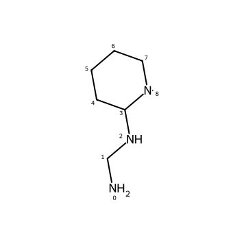 NCNC1CCCC[N]1